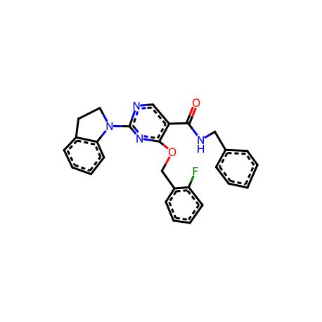 O=C(NCc1ccccc1)c1cnc(N2CCc3ccccc32)nc1OCc1ccccc1F